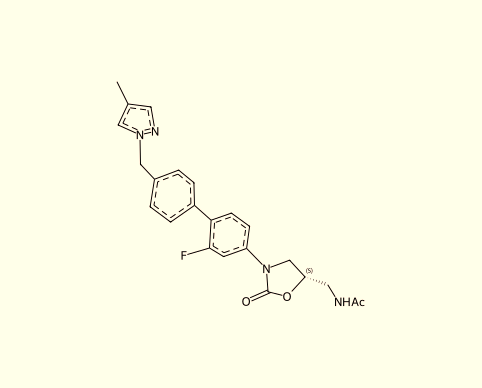 CC(=O)NC[C@H]1CN(c2ccc(-c3ccc(Cn4cc(C)cn4)cc3)c(F)c2)C(=O)O1